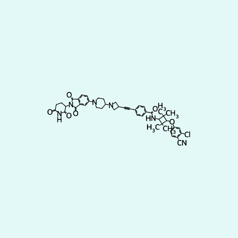 CC1(C)C(NC(=O)c2ccc(C#CC3CN(C4CCN(c5ccc6c(c5)C(=O)N(C5CCC(=O)NC5=O)C6=O)CC4)C3)cc2)C(C)(C)C1Oc1ccc(C#N)c(Cl)c1